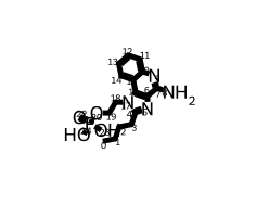 CCCCc1nc2c(N)nc3ccccc3c2n1CCOP(=O)(O)O